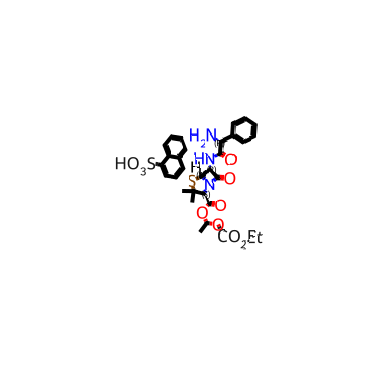 CCOC(=O)OC(C)OC(=O)[C@@H]1N2C(=O)[C@@H](NC(=O)[C@H](N)c3ccccc3)[C@H]2SC1(C)C.O=S(=O)(O)c1cccc2ccccc12